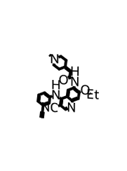 C#Cc1cccc(Nc2c(C#N)cnc3cc(OCC)c(NC(=O)C=C4CCN(C)CC4)cc23)c1